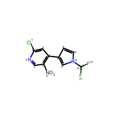 O=[N+]([O-])c1cnc(Cl)cc1-c1ccn(C(F)F)c1